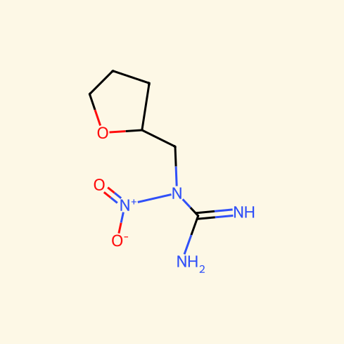 N=C(N)N(CC1CCCO1)[N+](=O)[O-]